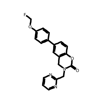 O=C1Oc2ccc(-c3ccc(OCF)cc3)cc2CN1Cc1ncccn1